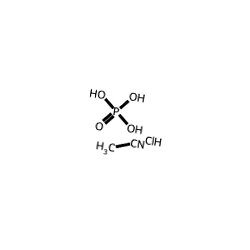 CC#N.Cl.O=P(O)(O)O